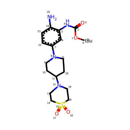 CC(C)(C)OC(=O)Nc1cc(N2CCC(N3CCS(=O)(=O)CC3)CC2)ccc1N